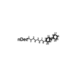 CCCCCCCCCCCCCCCCCCc1cc[n+](-c2ccccc2)cc1